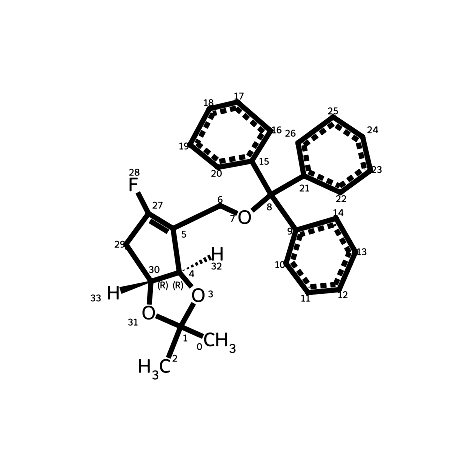 CC1(C)O[C@@H]2C(COC(c3ccccc3)(c3ccccc3)c3ccccc3)=C(F)[CH][C@H]2O1